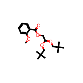 COc1ccccc1C(=O)OCC(OCC(C)(C)C)OCC(C)(C)C